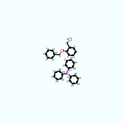 ClCc1ccccc1OCc1ccccc1.c1ccc(P(c2ccccc2)c2ccccc2)cc1